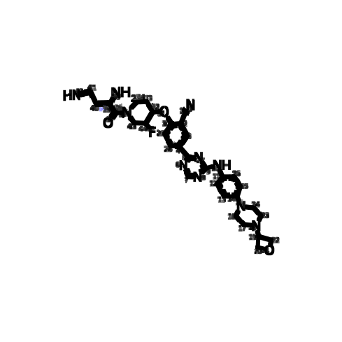 N#Cc1cc(-c2ncnc(Nc3ccc(N4CCN(C5COC5)CC4)cc3)n2)ccc1OC1CCN(C(=O)/C(N)=C/C=N)CC1F